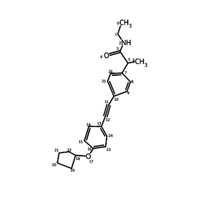 CCNC(=O)C(C)c1ccc(C#Cc2ccc(OC3CCCC3)cc2)cc1